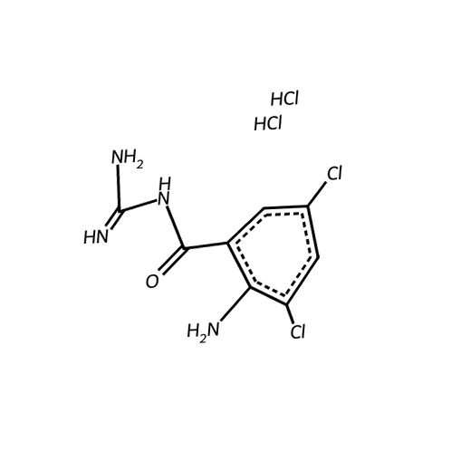 Cl.Cl.N=C(N)NC(=O)c1cc(Cl)cc(Cl)c1N